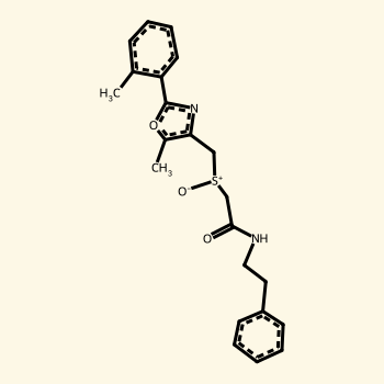 Cc1ccccc1-c1nc(C[S+]([O-])CC(=O)NCCc2ccccc2)c(C)o1